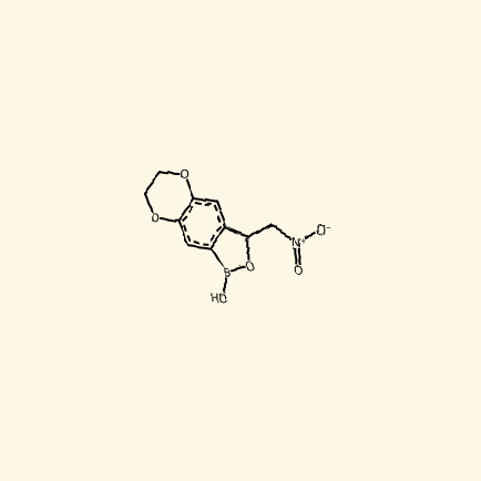 O=[N+]([O-])CC1OB(O)c2cc3c(cc21)OCCO3